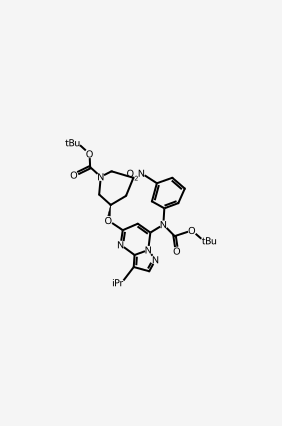 CC(C)c1cnn2c(N(C(=O)OC(C)(C)C)c3cccc([N+](=O)[O-])c3)cc(O[C@@H]3CCCN(C(=O)OC(C)(C)C)C3)nc12